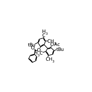 CC(=O)Oc1c(C(C)(C)C)cc(C)c(C)c1-c1c(C)c(C)cc(C(C)(C)C)c1OC(=O)c1ccccc1